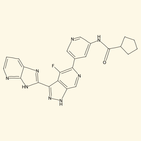 O=C(Nc1cncc(-c2ncc3[nH]nc(-c4nc5cccnc5[nH]4)c3c2F)c1)C1CCCC1